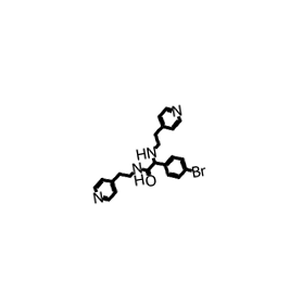 O=C(NCCc1ccncc1)C(NCCc1ccncc1)c1ccc(Br)cc1